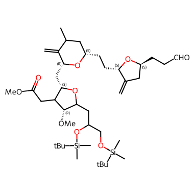 C=C1C[C@H](CCC=O)O[C@H]1CC[C@H]1CC(C)C(=C)[C@@H](C[C@@H]2OC(CC(CO[Si](C)(C)C(C)(C)C)O[Si](C)(C)C(C)(C)C)[C@H](OC)C2CC(=O)OC)O1